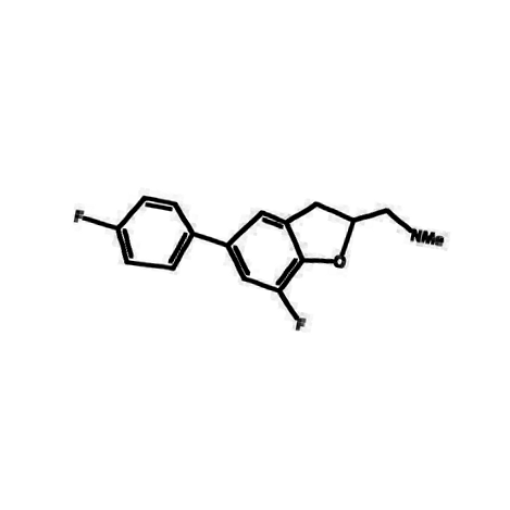 CNCC1Cc2cc(-c3ccc(F)cc3)cc(F)c2O1